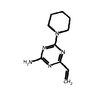 C=Cc1nc(N)nc(N2CCCCC2)n1